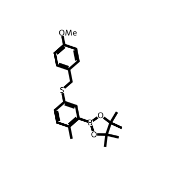 COc1ccc(CSc2ccc(C)c(B3OC(C)(C)C(C)(C)O3)c2)cc1